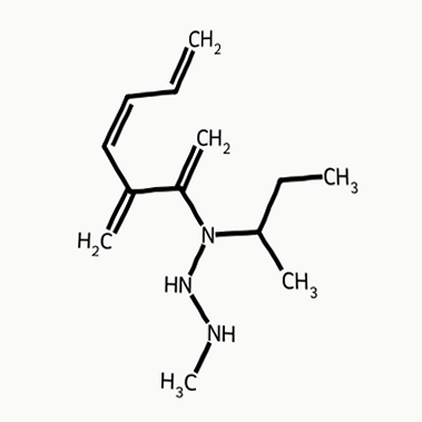 C=C/C=C\C(=C)C(=C)N(NNC)C(C)CC